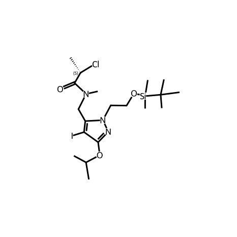 CC(C)Oc1nn(CCO[Si](C)(C)C(C)(C)C)c(CN(C)C(=O)[C@H](C)Cl)c1I